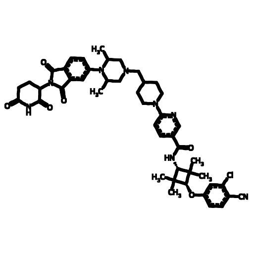 CC1CN(CC2CCN(c3ccc(C(=O)N[C@H]4C(C)(C)[C@H](Oc5ccc(C#N)c(Cl)c5)C4(C)C)cn3)CC2)CC(C)N1c1ccc2c(c1)C(=O)N(C1CCC(=O)NC1=O)C2=O